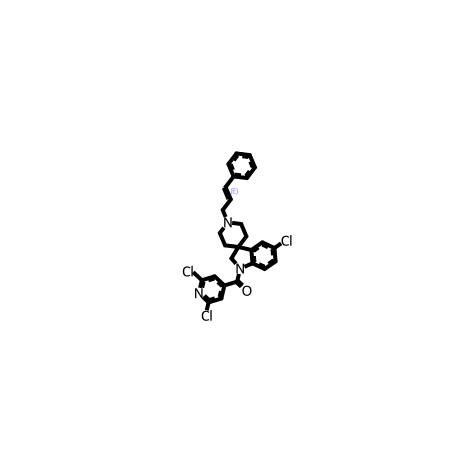 O=C(c1cc(Cl)nc(Cl)c1)N1CC2(CCN(C/C=C/c3ccccc3)CC2)c2cc(Cl)ccc21